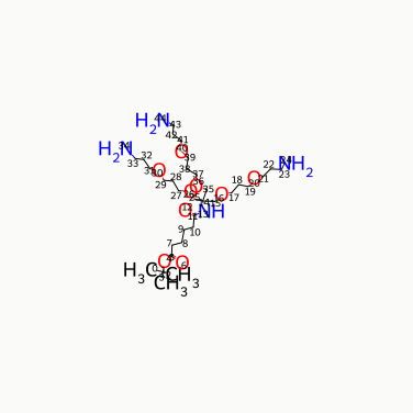 CC(C)(C)OC(=O)CCCCC(=O)NC(COCCCOCCCN)(COCCCOCCCN)COCCCOCCCN